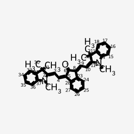 CN1C(=CC=C2C(=O)C(=CC=C3N(C)c4ccccc4C3(C)C)c3ccccc32)C(C)(C)c2ccccc21